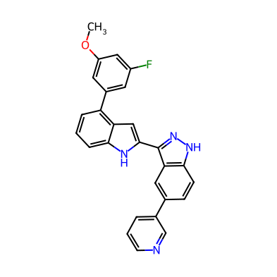 COc1cc(F)cc(-c2cccc3[nH]c(-c4n[nH]c5ccc(-c6cccnc6)cc45)cc23)c1